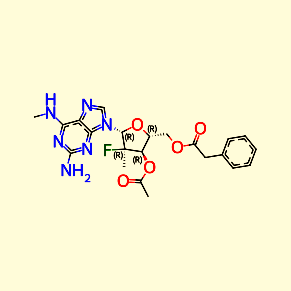 CNc1nc(N)nc2c1ncn2[C@@H]1O[C@H](COC(=O)Cc2ccccc2)[C@@H](OC(C)=O)[C@@]1(C)F